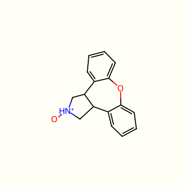 [O-][NH+]1CC2c3ccccc3Oc3ccccc3C2C1